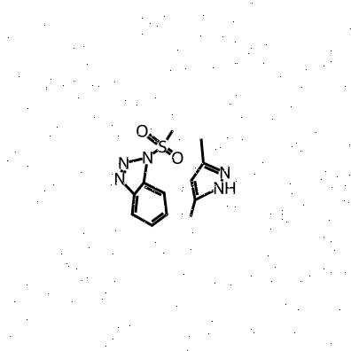 CS(=O)(=O)n1nnc2ccccc21.Cc1cc(C)[nH]n1